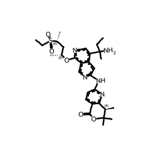 CCC(C)(N)c1cnc(O[C@H](C)C[C@@H](C)S(=O)(=O)CC)c2cnc(Nc3ccc4c(n3)[C@@H](C)C(C)(C)OC4=O)cc12